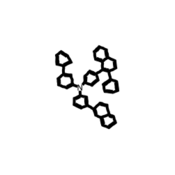 c1ccc(-c2cccc(N(c3ccc(-c4c(-c5ccccc5)ccc5ccccc45)cc3)c3cccc(-c4ccc5ccccc5c4)c3)c2)cc1